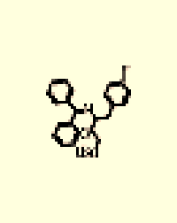 CC(C)(C)CC(=O)C(Cc1ccc(F)cc1)N=C(c1ccccc1)c1ccccc1